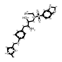 Cc1nc(COc2ccc(CC(N)C(O)CN(CC(C)C)S(=O)(=O)c3ccc4c(c3)OCO4)cc2)cs1